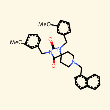 COc1cccc(CN2C(=O)N(Cc3cccc(OC)c3)C3(CCN(Cc4cccc5ccccc45)CC3)C2=O)c1